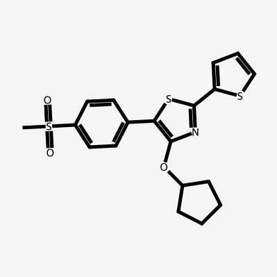 CS(=O)(=O)c1ccc(-c2sc(-c3cccs3)nc2OC2CCCC2)cc1